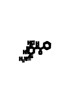 Cl.N[C@@H]1C[C@]12C=C(NC(=O)c1ccccc1)N=NN2